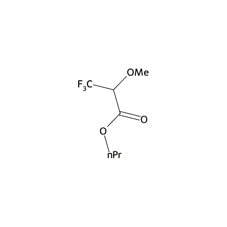 CCCOC(=O)C(OC)C(F)(F)F